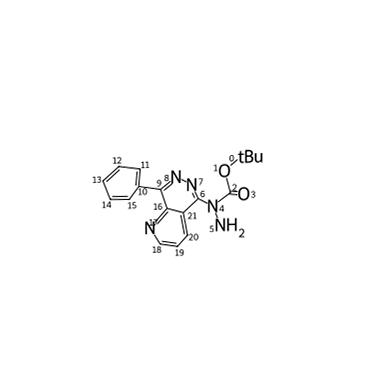 CC(C)(C)OC(=O)N(N)c1nnc(-c2ccccc2)c2ncccc12